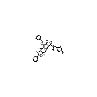 CC1[C@H](c2ccccc2)O[C@@H]2Cn3cc(C(=O)NCc4ccc(F)cc4F)c(=O)c(OCc4ccccc4)c3C(=O)N12